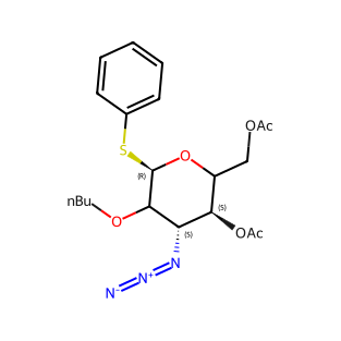 CCCCOC1[C@@H](Sc2ccccc2)OC(COC(C)=O)[C@@H](OC(C)=O)[C@@H]1N=[N+]=[N-]